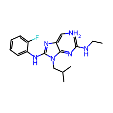 C=C(/N=C1\C(=C/N)N=C(Nc2ccccc2F)N1CC(C)C)NCC